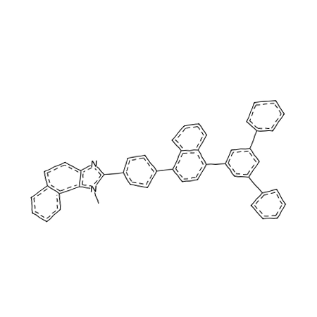 Cn1c(-c2ccc(-c3ccc(-c4cc(-c5ccccc5)cc(-c5ccccc5)c4)c4ccccc34)cc2)nc2ccc3ccccc3c21